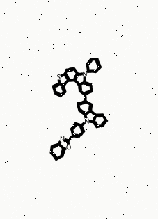 c1ccc(-n2c3ccc(-c4ccc5c(c4)c4ccccc4n5-c4ccc(-c5nc6ccccc6o5)cc4)cc3c3c4c(ccc32)sc2ccccc24)cc1